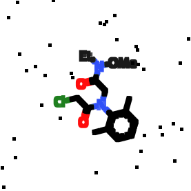 CCN(OC)C(=O)CN(C(=O)CCl)c1c(C)cccc1C